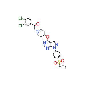 CS(=O)(=O)c1ccc(-n2ncc3c(OC4CCN(CC(=O)c5ccc(Cl)c(Cl)c5)CC4)ncnc32)cc1